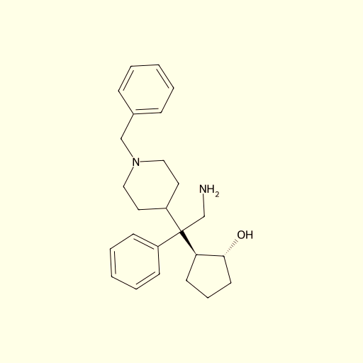 NCC(c1ccccc1)(C1CCN(Cc2ccccc2)CC1)[C@@H]1CCC[C@H]1O